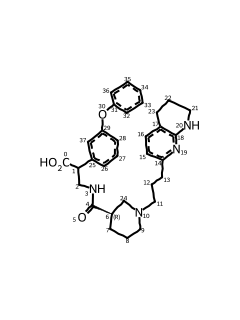 O=C(O)C(CNC(=O)[C@@H]1CCCN(CCCc2ccc3c(n2)NCCC3)C1)c1cccc(Oc2ccccc2)c1